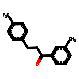 Cc1cccc(C(=O)CCc2ccc(C(F)(F)F)cc2)c1